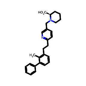 Cc1c(CCc2ccc(CN3CCCC[C@@H]3C(=O)O)cn2)cccc1-c1ccccc1